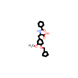 COc1cc(/C=C(/NC(=O)c2ccccc2)C(=O)O)ccc1OCc1ccccc1